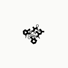 Cc1cc([C@@H](C)Nc2ccccc2C(=O)O)c2nc(N3Cc4cccc(F)c4C3)c(C)c(=O)n2c1